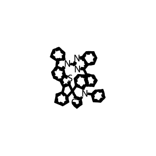 c1ccc(-c2nc(-n3c4ccccc4c4ccc5c6c(sc5c43)C3(c4ccccc4-6)c4ccccc4N(c4ccccc4)c4ccccc43)nc3ccccc23)cc1